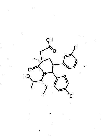 CC[C@H](C(C)O)N1C(=O)[C@@](C)(CC(=O)O)CC(c2cccc(Cl)c2)C1c1ccc(Cl)cc1